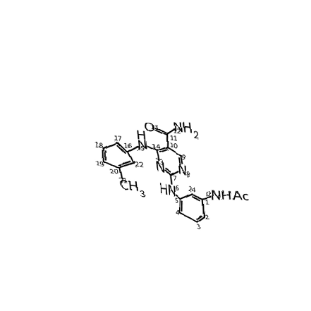 CC(=O)Nc1cccc(Nc2ncc(C(N)=O)c(Nc3cccc(C)c3)n2)c1